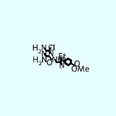 CCn1c(CNC(=O)c2nc(Cl)c(N)nc2N)[n+](C)c2cc(C(=O)OC)ccc21